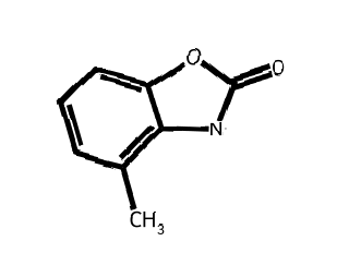 Cc1cccc2c1[N]C(=O)O2